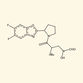 CCCCC(CN(O)C=O)C(=O)N1CCCC1c1nc2cc(F)c(F)cc2o1